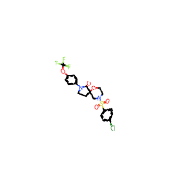 O=C1N(c2ccc(OC(F)(F)F)cc2)CCC12CN(S(=O)(=O)c1ccc(Cl)cc1)CCO2